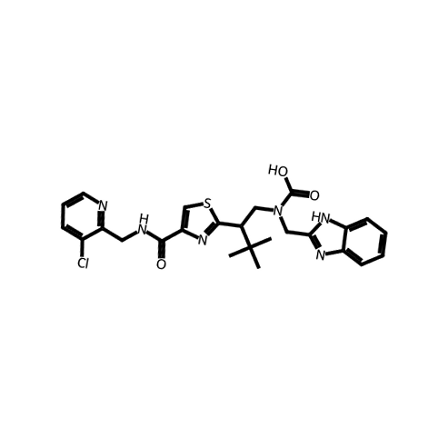 CC(C)(C)C(CN(Cc1nc2ccccc2[nH]1)C(=O)O)c1nc(C(=O)NCc2ncccc2Cl)cs1